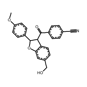 COc1ccc(C2Oc3cc(CO)ccc3C2C(=O)c2ccc(C#N)cc2)cc1